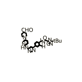 Cc1cc(-c2cc(Nc3ccc(N4CCC(C=O)CC4)cn3)ncn2)ccc1[C@@H](C)NC(=O)c1nc(C(C)(C)C)no1